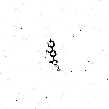 NC[C@H]1CN(c2ccc(-c3ccc(F)nc3)c(F)c2)C(=O)O1